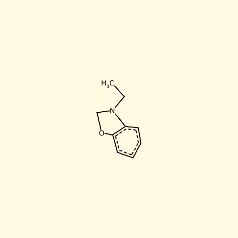 CCN1COc2ccccc21